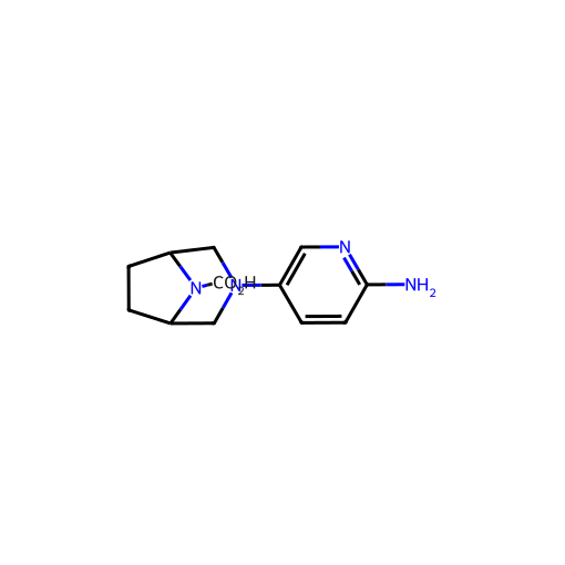 Nc1ccc(N2CC3CCC(C2)N3C(=O)O)cn1